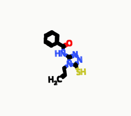 C=CCn1c(S)nnc1NC(=O)c1ccccc1